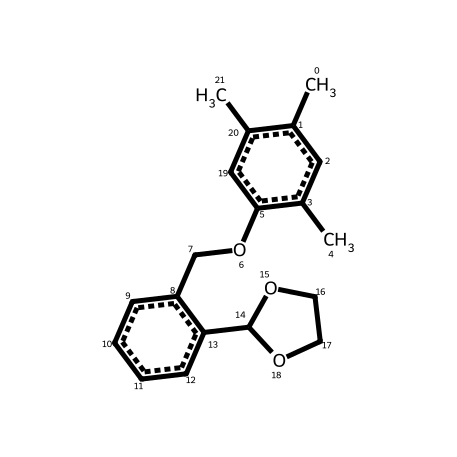 Cc1cc(C)c(OCc2ccccc2C2OCCO2)cc1C